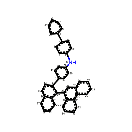 c1ccc(-c2ccc(Nc3ccc(-c4ccc5ccccc5c4-c4cc5ccccc5c5ccccc45)cc3)cc2)cc1